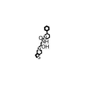 O=C(NCC(O)CN1CCc2sccc2C1)N1CCCC(c2ccccc2)C1